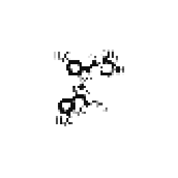 Cc1cccc(-c2nc(-n3nc(C(=O)N4CCNCC4C)c4cc(C)ccc43)sc2C(C)C)c1